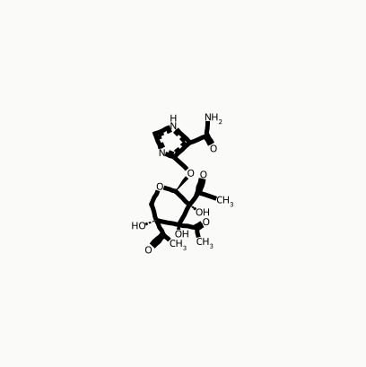 CC(=O)[C@]1(O)[C@@](O)(C(C)=O)CO[C@@H](Oc2nc[nH]c2C(N)=O)[C@@]1(O)C(C)=O